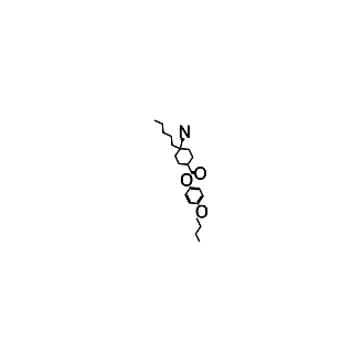 CCCCCC1(C#N)CCC(C(=O)Oc2ccc(OCCCC)cc2)CC1